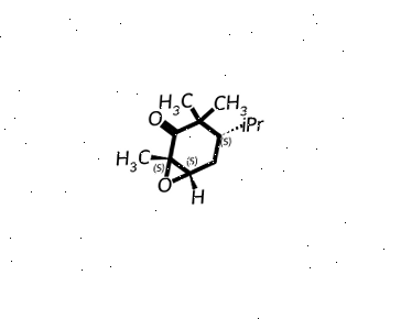 CC(C)[C@@H]1C[C@@H]2O[C@]2(C)C(=O)C1(C)C